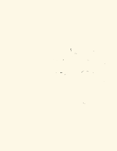 CCc1ccc(Cc2ccc(N)cc2[C@@]2(O)O[C@H]([C@@H](C)O)[C@@H](O)[C@H](O)[C@H]2O)cc1